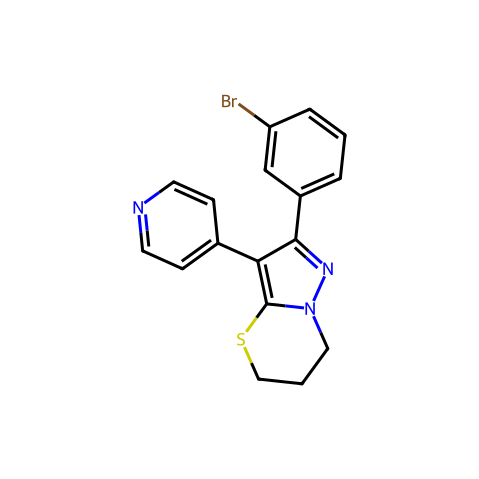 Brc1cccc(-c2nn3c(c2-c2ccncc2)SCCC3)c1